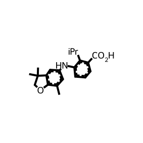 Cc1cc(Nc2cccc(C(=O)O)c2C(C)C)cc2c1OCC2(C)C